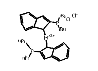 CCCP(CCC)C1=Cc2ccccc2[CH]1[Hf+2][CH]1C(P(C(C)CC)C(C)CC)=Cc2ccccc21.[Cl-].[Cl-]